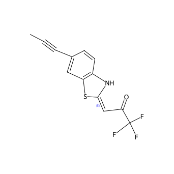 CC#Cc1ccc2c(c1)S/C(=C/C(=O)C(F)(F)F)N2